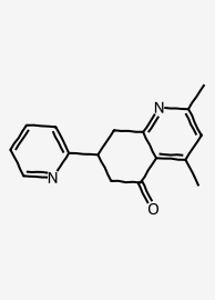 Cc1cc(C)c2c(n1)CC(c1ccccn1)CC2=O